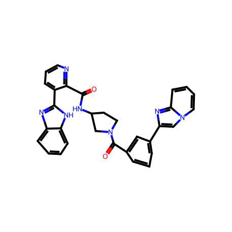 O=C(NC1CCN(C(=O)c2cccc(-c3cn4ccccc4n3)c2)C1)c1ncccc1-c1nc2ccccc2[nH]1